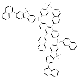 CC(C)(C)c1ccc(N(c2ccc3c(c2)C(C)(C)c2cc(-c4cccc5ccccc45)ccc2-3)c2ccc3c(-c4ccc5ccccc5c4)c4cc(N(c5ccc6c(c5)C(C)(C)c5cc(-c7cccc8ccccc78)ccc5-6)c5ccc6ccccc6c5)ccc4c(-c4ccc5ccccc5c4)c3c2)cc1